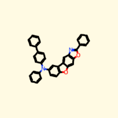 c1ccc(-c2ccc(N(c3ccccc3)c3ccc4oc5cc6oc(-c7ccccc7)nc6cc5c4c3)cc2)cc1